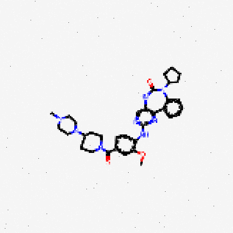 COc1cc(C(=O)N2CCC(N3CCN(C)CC3)CC2)ccc1Nc1ncc2c(n1)-c1ccccc1N(C1CCCC1)C(=O)N2